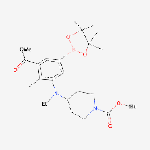 CCN(c1cc(B2OC(C)(C)C(C)(C)O2)cc(C(=O)OC)c1C)C1CCN(C(=O)OC(C)(C)C)CC1